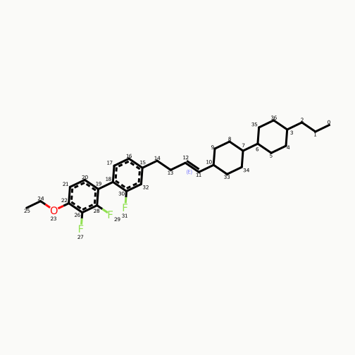 CCCC1CCC(C2CCC(/C=C/CCc3ccc(-c4ccc(OCC)c(F)c4F)c(F)c3)CC2)CC1